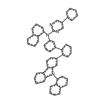 c1ccc(-c2cnc(N(c3cccc(-c4ccccc4-c4ccc5c6ccccc6n(-c6cccc7ccccc67)c5c4)c3)c3cccc4ccccc34)nc2)cc1